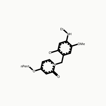 CCCCCOc1ccn(Cc2cc(OC)c(NCC)cc2Cl)c(=O)c1